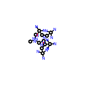 N#Cc1cc(C#N)c(-c2ccc3c(c2)c2cc(-c4c(C#N)cc(C#N)cc4C#N)ccc2n3-c2ccnc(-c3cc(-c4nc(-c5ccccc5)nc(-c5ccccc5)n4)ccc3-n3c4ccc(-c5c(C#N)cc(C#N)cc5C#N)cc4c4cc(-c5c(C#N)cc(C#N)cc5C#N)ccc43)c2)c(C#N)c1